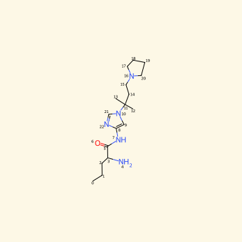 CCCC(N)C(=O)Nc1cn(C(C)(C)CCN2CCCC2)cn1